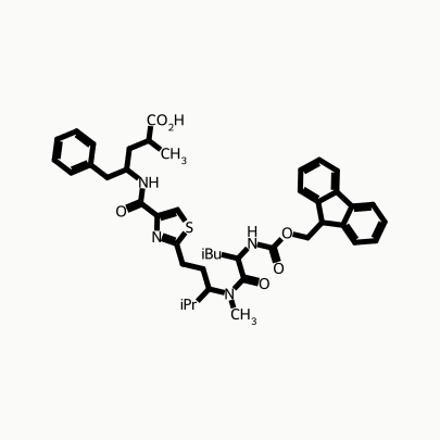 CCC(C)C(NC(=O)OCC1c2ccccc2-c2ccccc21)C(=O)N(C)C(CCc1nc(C(=O)NC(Cc2ccccc2)CC(C)C(=O)O)cs1)C(C)C